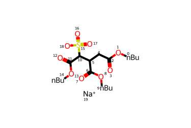 CCCCOC(=O)CC(C(=O)OCCCC)C(C(=O)OCCCC)S(=O)(=O)[O-].[Na+]